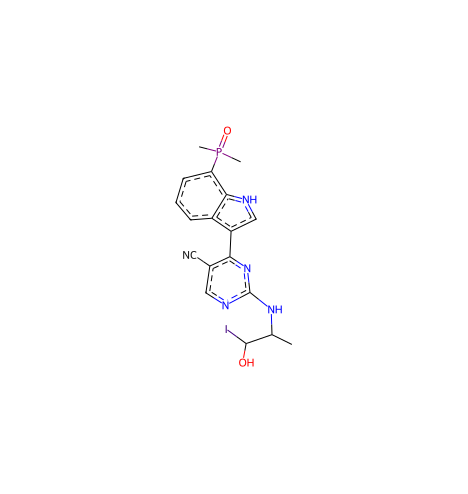 CC(Nc1ncc(C#N)c(-c2c[nH]c3c(P(C)(C)=O)cccc23)n1)C(O)I